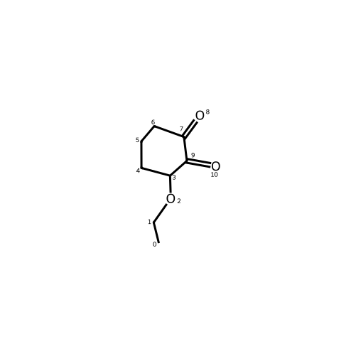 CCOC1CCCC(=O)C1=O